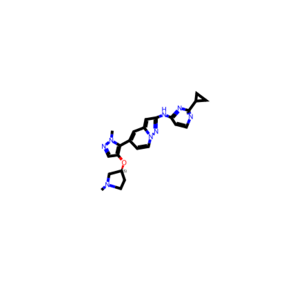 CN1CC[C@H](Oc2cnn(C)c2-c2ccn3nc(Nc4ccnc(C5CC5)n4)cc3c2)C1